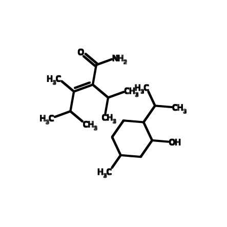 CC(=C(C(N)=O)C(C)C)C(C)C.CC1CCC(C(C)C)C(O)C1